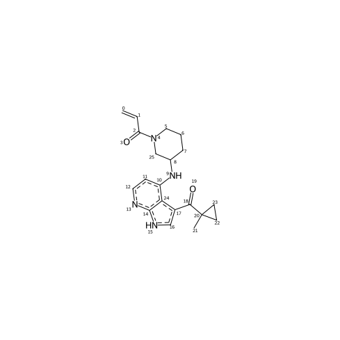 C=CC(=O)N1CCCC(Nc2ccnc3[nH]cc(C(=O)C4(C)CC4)c23)C1